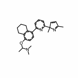 CC1=NC(C)(c2cccc(-c3ccc(OC(C)N(C)C)c4c3CCCC4)n2)C=C1